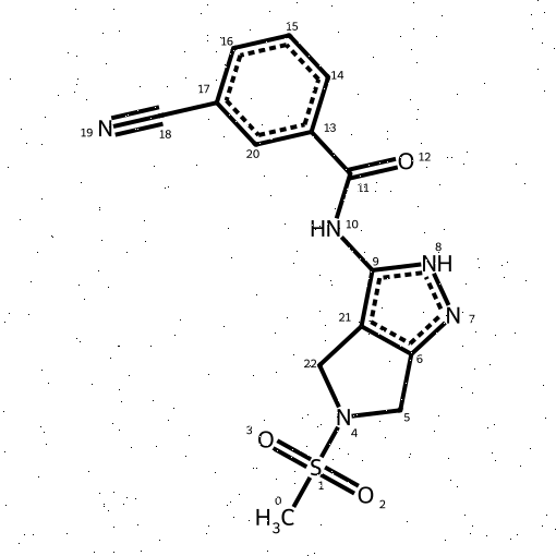 CS(=O)(=O)N1Cc2n[nH]c(NC(=O)c3cccc(C#N)c3)c2C1